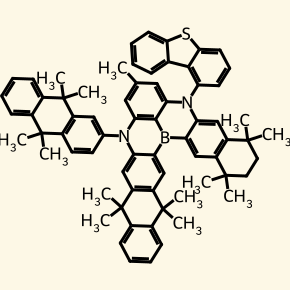 Cc1cc2c3c(c1)N(c1cccc4sc5ccccc5c14)c1cc4c(cc1B3c1cc3c(cc1N2c1ccc2c(c1)C(C)(C)c1ccccc1C2(C)C)C(C)(C)c1ccccc1C3(C)C)C(C)(C)CCC4(C)C